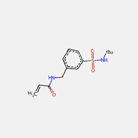 C=CC(=O)NCc1cccc(S(=O)(=O)NC(C)(C)C)c1